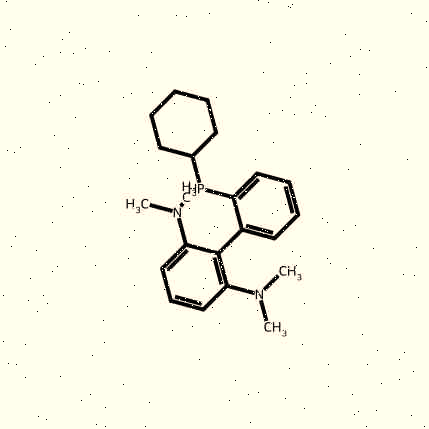 CN(C)c1cccc(N(C)C)c1-c1ccccc1PC1CCCCC1